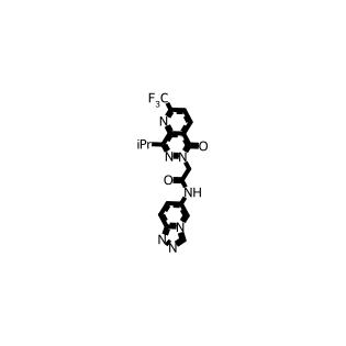 CC(C)c1nn(CC(=O)Nc2ccc3nncn3c2)c(=O)c2ccc(C(F)(F)F)nc12